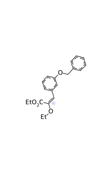 CCOC(=O)/C(=C\c1cccc(OCc2ccccc2)c1)OCC